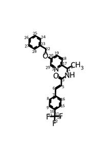 CC(NC(=O)C=Cc1ccc(C(F)(F)F)cc1)c1ccc(OCc2ccccc2)cn1